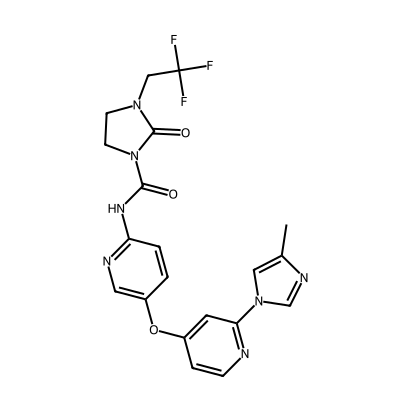 Cc1cn(-c2cc(Oc3ccc(NC(=O)N4CCN(CC(F)(F)F)C4=O)nc3)ccn2)cn1